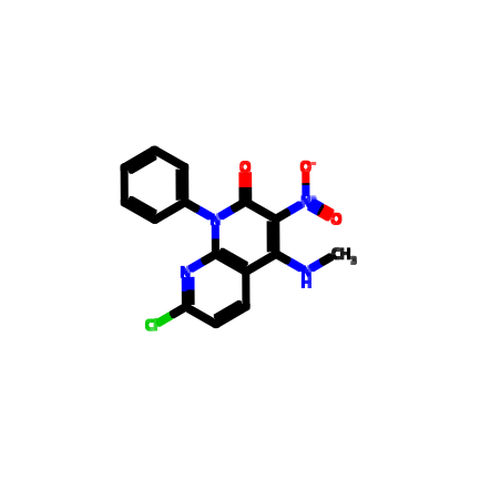 CNc1c([N+](=O)[O-])c(=O)n(-c2ccccc2)c2nc(Cl)ccc12